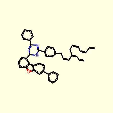 C=C/C=C\C=C/CC(/C=C\Cc1ccc(C2=NC(c3ccccc3)=NC(c3cccc4oc5cc(-c6ccccc6)ccc5c34)N2)cc1)=C/C=C